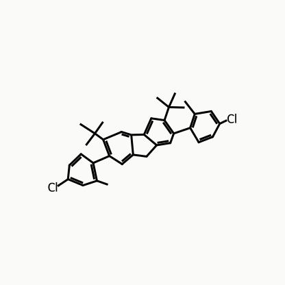 Cc1cc(Cl)ccc1-c1cc2c(cc1C(C)(C)C)-c1cc(C(C)(C)C)c(-c3ccc(Cl)cc3C)cc1C2